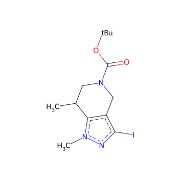 CC1CN(C(=O)OC(C)(C)C)Cc2c(I)nn(C)c21